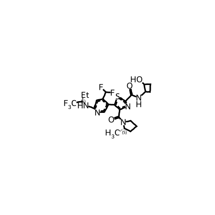 CC[C@H](Nc1cc(C(F)F)c(-c2sc(C(=O)NC3CCC3O)nc2C(=O)N2CCC[C@@H]2C)cn1)C(F)(F)F